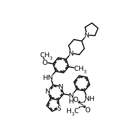 COc1cc(N2CCC(N3CCCC3)CC2)c(C)cc1Nc1nc(Nc2ccccc2NS(C)(=O)=O)c2sccc2n1